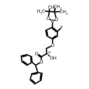 CC1(C)OB(c2ccc(OC[C@@H](O)C(=O)OC(c3ccccc3)c3ccccc3)cc2F)OC1(C)C